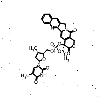 CC[C@@]1(OP(=O)(O)OC[C@H]2O[C@@H](n3cc(C)c(=O)[nH]c3=O)C[C@@H]2C)C(=O)OCc2c1cc1n(c2=O)Cc2cc3ccccc3nc2-1